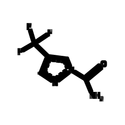 NC(=O)n1cc(C(F)(F)F)[c]n1